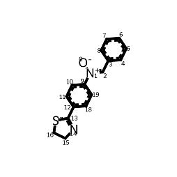 [O-][N+](=Cc1ccccc1)c1ccc(C2=NCCS2)cc1